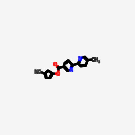 Cc1ccc(-c2ccc(C(=O)OC3=CC=C(C#N)C3)cn2)nc1